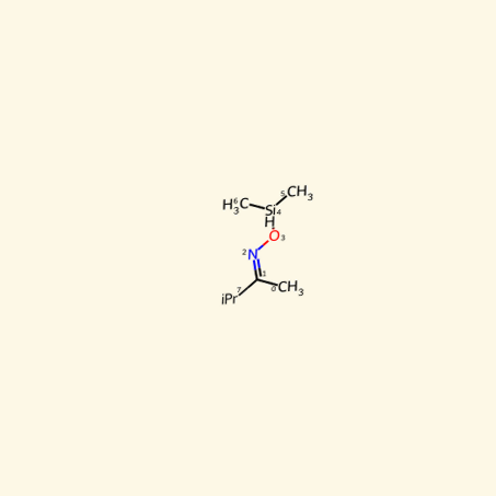 CC(=NO[SiH](C)C)C(C)C